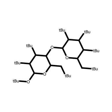 CC(C)(C)CC1OC(OC(C)(C)C)C(C(C)(C)C)C(C(C)(C)C)C1OC1OC(CC(C)(C)C)C(C(C)(C)C)C(C(C)(C)C)C1C(C)(C)C